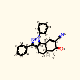 C[C@H]1C(=O)C(C#N)=C[C@@]2(C)c3c(c(-c4ccccc4)nn3-c3ccccc3)CC[C@H]12